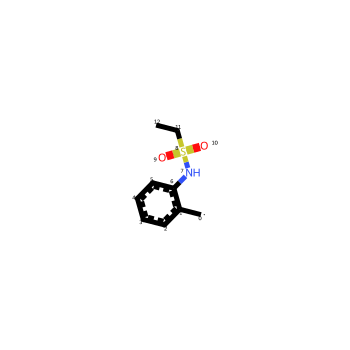 [CH2]c1ccccc1NS(=O)(=O)CC